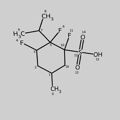 CC1CC(F)C(F)(C(C)C)C(F)(S(=O)(=O)O)C1